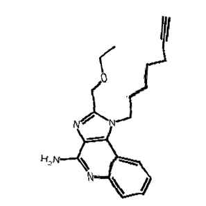 C#CCCC[CH]Cn1c(COCC)nc2c(N)nc3ccccc3c21